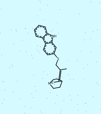 C/C(CSc1ccc2c(c1)[nH]c1ccccc12)=C1/CN2CCC1CC2